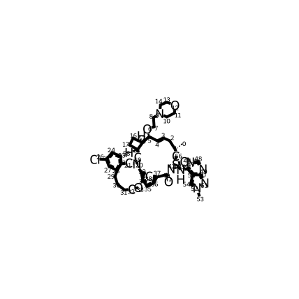 C[C@H]1C/C=C/[C@H](OCCN2CCOCC2)[C@@H]2CC[C@H]2CN2Cc3ccc(Cl)cc3CCCCOc3ccc(cc32)C(=O)N=S(=O)(Nc2ncnc3nn(C)cc23)C1